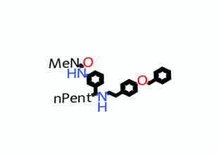 CCCCCC(NCCc1ccc(OCc2ccccc2)cc1)c1cccc(NC(=O)NC)c1